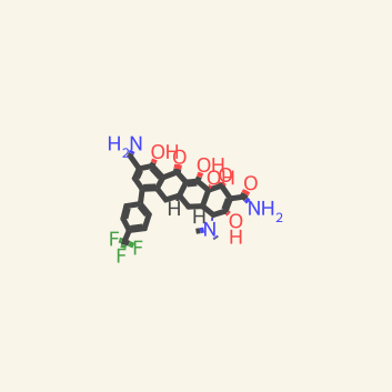 CN(C)[C@H]1C(O)=C(C(N)=O)C(=O)[C@@]2(O)C(O)=C3C(=O)c4c(O)c(CN)cc(-c5ccc(C(F)(F)F)cc5)c4C[C@H]3C[C@@H]12